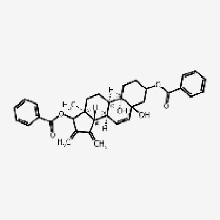 C=C1C(=C)[C@H]2[C@@H]3C=CC4(O)CC(OC(=O)c5ccccc5)CC[C@]4(C)[C@@H]3CC[C@]2(C)C1OC(=O)c1ccccc1